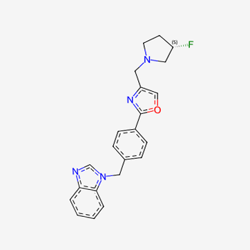 F[C@H]1CCN(Cc2coc(-c3ccc(Cn4cnc5ccccc54)cc3)n2)C1